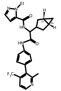 CCn1nccc1C(=O)NC(C(=O)Nc1ccc(-c2c(C(F)(F)F)ccnc2C)cc1)C1C[C@@H]2C[C@@H]2C1